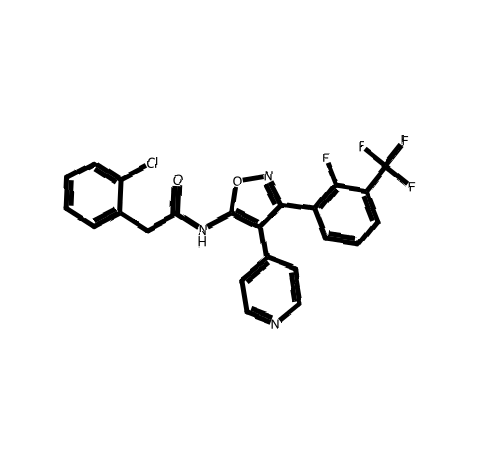 O=C(Cc1ccccc1Cl)Nc1onc(-c2cccc(C(F)(F)F)c2F)c1-c1ccncc1